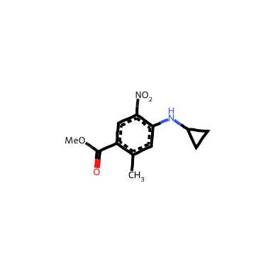 COC(=O)c1cc([N+](=O)[O-])c(NC2CC2)cc1C